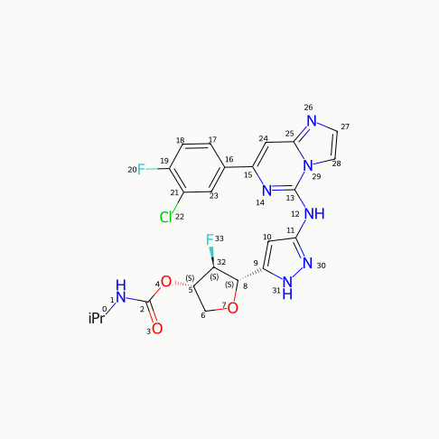 CC(C)NC(=O)O[C@H]1CO[C@@H](c2cc(Nc3nc(-c4ccc(F)c(Cl)c4)cc4nccn34)n[nH]2)[C@@H]1F